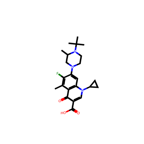 Cc1c(F)c(N2CCN(C(C)(C)C)C(C)C2)cc2c1c(=O)c(C(=O)O)cn2C1CC1